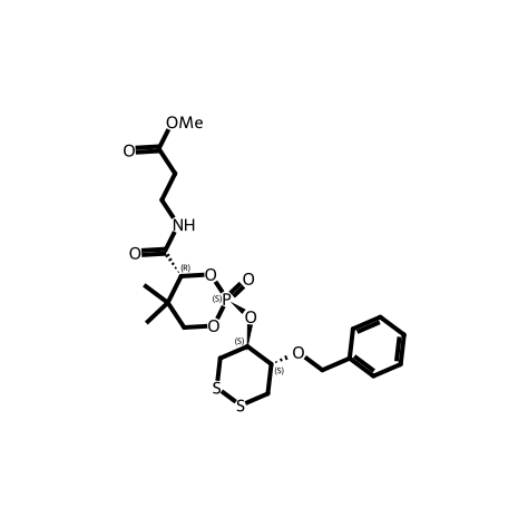 COC(=O)CCNC(=O)[C@@H]1O[P@@](=O)(O[C@@H]2CSSC[C@H]2OCc2ccccc2)OCC1(C)C